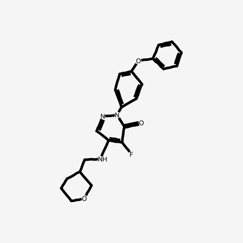 O=c1c(F)c(NCC2CCCOC2)cnn1-c1ccc(Oc2ccccc2)cc1